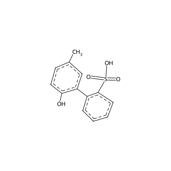 Cc1ccc(O)c(-c2ccccc2S(=O)(=O)O)c1